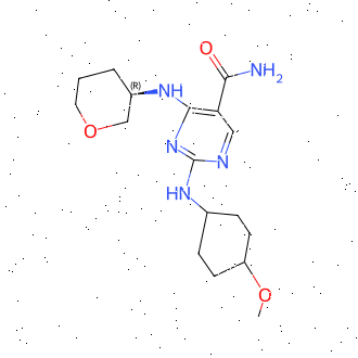 COC1CCC(Nc2ncc(C(N)=O)c(N[C@@H]3CCCOC3)n2)CC1